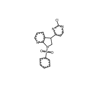 O=S(=O)(c1ccccc1)N1CC(c2ccnc(Cl)n2)c2cccnc21